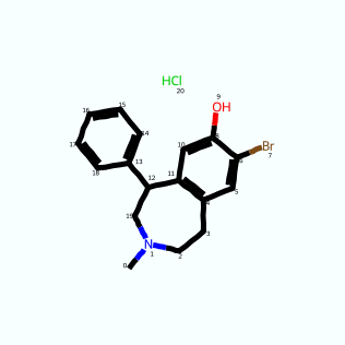 CN1CCc2cc(Br)c(O)cc2C(c2ccccc2)C1.Cl